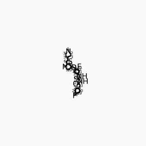 CN1CC=C(c2cc3nccc(Oc4ccc(NC(=S)NC(=O)Cc5ccc(F)cc5)cc4F)c3s2)CC1